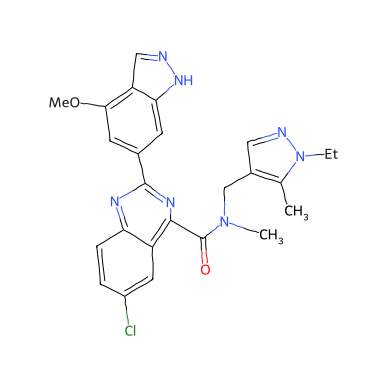 CCn1ncc(CN(C)C(=O)c2nc(-c3cc(OC)c4cn[nH]c4c3)nc3ccc(Cl)cc23)c1C